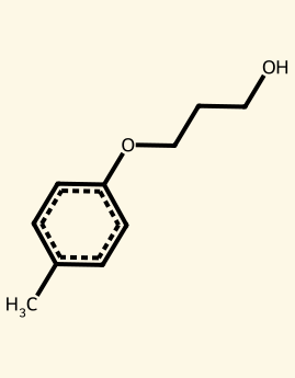 Cc1ccc(OCCCO)cc1